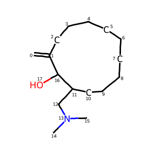 C=C1CCCCCCCCCC(CN(C)C)C1O